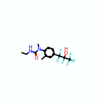 CCNC(=O)N(C)c1ccc(C(F)(F)C(O)(F)C(F)(F)F)cc1C